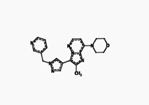 Cc1nc2c(N3CCOCC3)ccnn2c1-c1cnn(Cc2cccnc2)c1